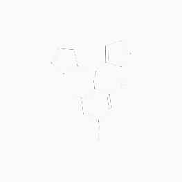 Fc1cc(F)[c]([Ti]([C]2=CC=CC2)[C]2=CC=CC2)c(F)c1